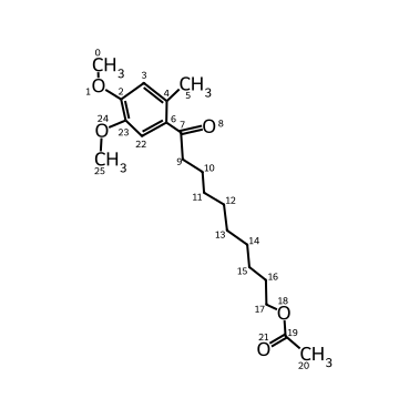 COc1cc(C)c(C(=O)CCCCCCCCCOC(C)=O)cc1OC